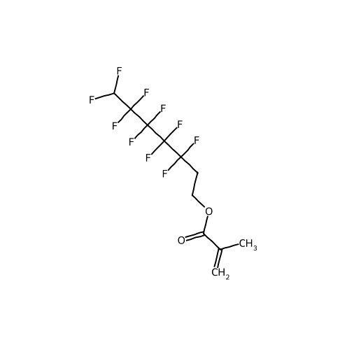 C=C(C)C(=O)OCCC(F)(F)C(F)(F)C(F)(F)C(F)(F)C(F)F